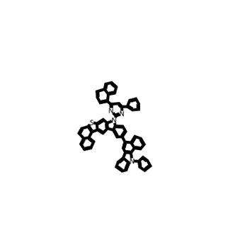 c1ccc(-c2cc(-c3cccc4ccccc34)nc(-n3c4ccc(-c5cc6c7ccccc7n(-c7ccccc7)c6c6ccccc56)cc4c4cc5c(cc43)sc3ccc4ccccc4c35)n2)cc1